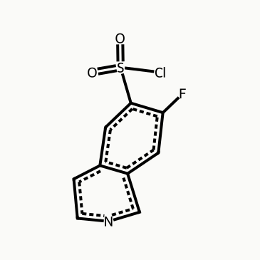 O=S(=O)(Cl)c1cc2ccncc2cc1F